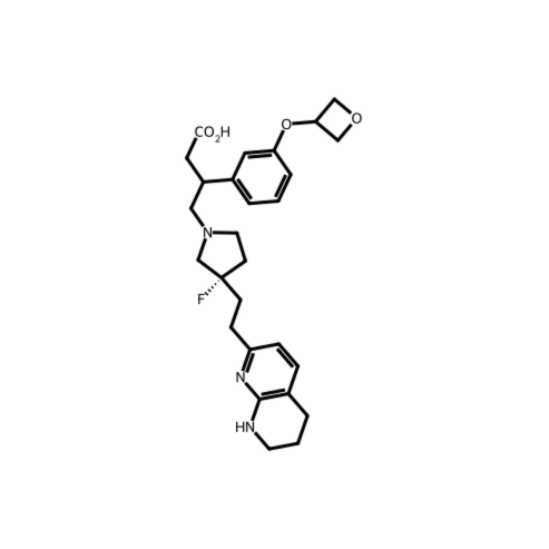 O=C(O)CC(CN1CC[C@@](F)(CCc2ccc3c(n2)NCCC3)C1)c1cccc(OC2COC2)c1